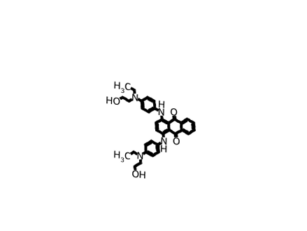 CCN(CCO)c1ccc(Nc2ccc(Nc3ccc(N(CC)CCO)cc3)c3c2C(=O)c2ccccc2C3=O)cc1